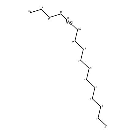 CCCCCCCCCC[CH2][Mg][CH2]CCC